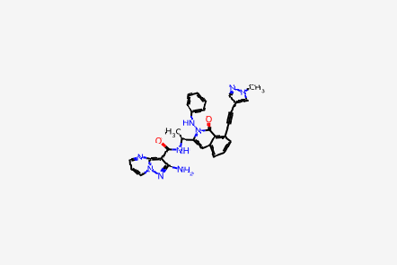 C[C@H](NC(=O)c1c(N)nn2cccnc12)c1cc2cccc(C#Cc3cnn(C)c3)c2c(=O)n1Nc1ccccc1